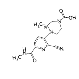 CNC(=O)c1ccc(N2CCN(C(=O)O)C[C@H]2C)c(C#N)n1